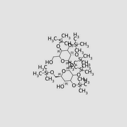 C[Si](C)(C)OC[C@H]1O[C@H](O[C@H]2OC(CO)[C@@H](O[Si](C)(C)C)C(O[Si](C)(C)C)[C@@H]2O[Si](C)(C)C)C(O[Si](C)(C)C)C(O[Si](C)(C)C)[C@@H]1O